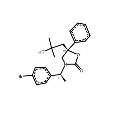 C[C@@H](c1ccc(Br)cc1)N1C[C@](CC(C)(C)O)(c2ccccc2)OC1=O